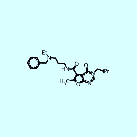 CCN(CCCNC(=O)c1c(C)oc2ncn(CC(C)C)c(=O)c12)Cc1ccccc1